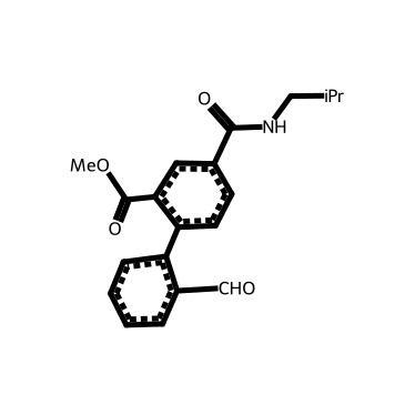 COC(=O)c1cc(C(=O)NCC(C)C)ccc1-c1ccccc1C=O